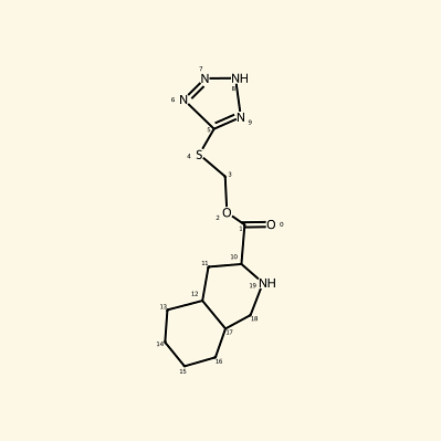 O=C(OCSc1nn[nH]n1)C1CC2CCCCC2CN1